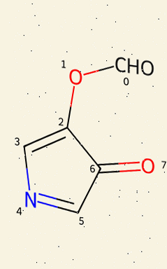 O=COC1=CN=CC1=O